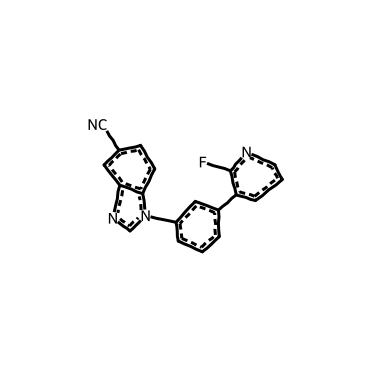 N#Cc1ccc2c(c1)ncn2-c1cccc(-c2cccnc2F)c1